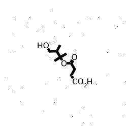 CC(CO)C(C)(C)OC(=O)CCC(=O)O